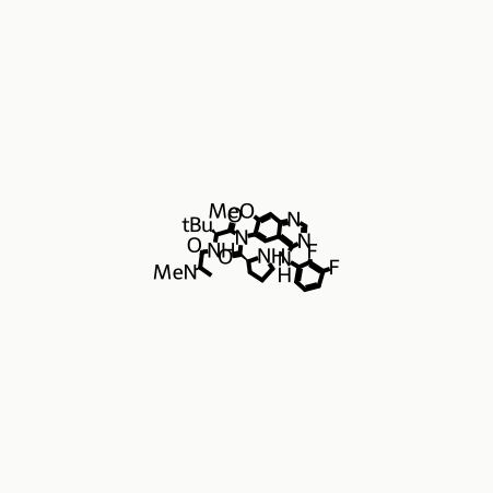 CN[C@@H](C)C(=O)N[C@H](C(=O)N(C(=O)[C@@H]1CCCN1)c1cc2c(Nc3cccc(F)c3F)ncnc2cc1OC)C(C)(C)C